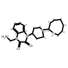 NCn1c(=O)c(=O)n(C2CCN(C3CCCCCCC3)CC2)c2ccccc21